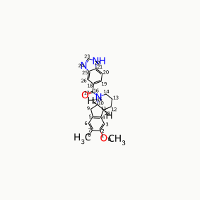 COc1cc2c(cc1C)C[C@H]1[C@@H]2CCCN1C(=O)c1ccc2[nH]cnc2c1